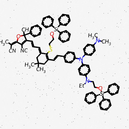 [C-]#[N+]C1=C(/C=C/C=C2\CC(C)(C)CC(/C=C/c3ccc(N(c4ccc(N(C)C)cc4)c4ccc(N(CC)CCO[Si](c5ccccc5)(c5ccccc5)c5ccccc5)cc4)cc3)=C2SCCO[Si](c2ccccc2)(c2ccccc2)c2ccccc2)C(C)(c2ccccc2)O/C1=C(\C)C#N